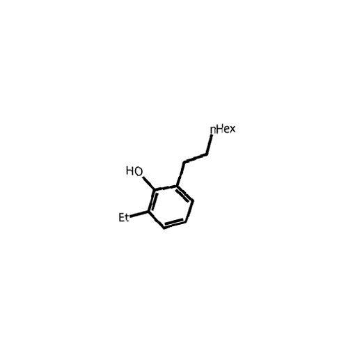 CCCCCCCCc1cccc(CC)c1O